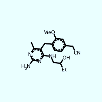 CCC(O)CNc1nc(N)nc(C)c1Cc1ccc(CC#N)cc1OC